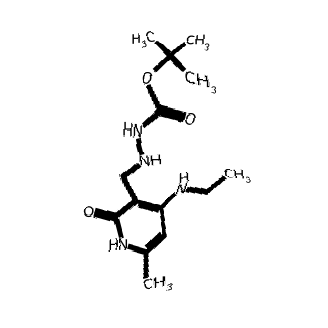 CCNc1cc(C)[nH]c(=O)c1CNNC(=O)OC(C)(C)C